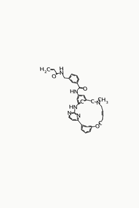 C=CC(=O)NCc1cccc(C(=O)Nc2cc3cc(c2)Nc2nccc(n2)-c2cccc(c2)OCC/C=C/CN(C)C3)c1